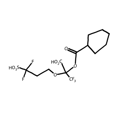 O=C(OC(OCCC(F)(F)S(=O)(=O)O)(C(=O)O)C(F)(F)F)C1CCCCC1